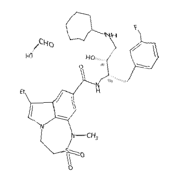 CCc1cn2c3c(cc(C(=O)N[C@@H](Cc4cccc(F)c4)[C@H](O)CNC4CCCCC4)cc13)N(C)S(=O)(=O)CC2.O=CO